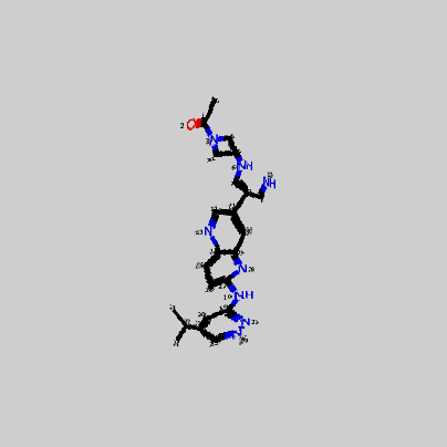 CC(=O)N1CC(N/C=C(\C=N)c2cnc3ccc(Nc4cc(C(C)C)cnn4)nc3c2)C1